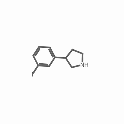 Ic1cccc(C2CCNC2)c1